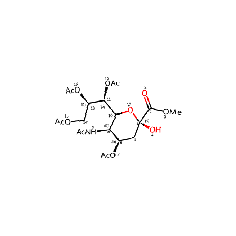 COC(=O)[C@]1(O)C[C@@H](OC(C)=O)[C@@H](NC(C)=O)C([C@H](OC(C)=O)[C@@H](COC(C)=O)OC(C)=O)O1